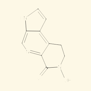 O=C1c2ncc3[nH]ccc3c2CCN1O